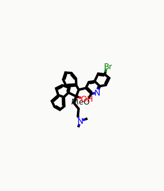 COc1nc2ccc(Br)cc2cc1C(c1ccccc1)C(O)(CCCN(C)C)c1cccc2ccccc12